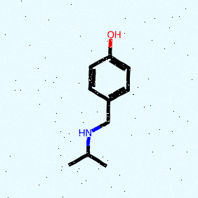 CC(C)NCc1ccc(O)cc1